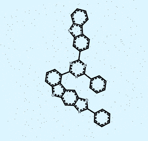 c1ccc(-c2nc(-c3ccc4c(c3)sc3ccccc34)nc(-c3cccc4oc5cc6nc(-c7ccccc7)oc6cc5c34)n2)cc1